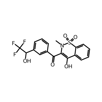 CN1C(C(=O)c2cccc(C(O)C(F)(F)F)c2)=C(O)c2ccccc2S1(=O)=O